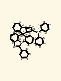 c1ccc(-c2nc3cccc4c3n2-c2ccccc2C42c3ccccc3-c3ccc(N(c4ccccc4)c4ccccc4)cc32)cc1